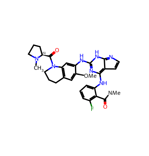 CNC(=O)c1c(F)cccc1Nc1nc(Nc2cc3c(cc2OC)CCCN3C(=O)[C@@H]2CCCN2C)[nH]c2nccc1-2